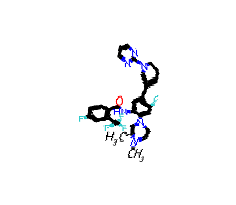 C[C@@H]1CN(c2cc(F)c(C3=CCCN(c4ncccn4)C3)cc2NC(=O)c2ccc(F)cc2C(F)(F)F)CCN1C